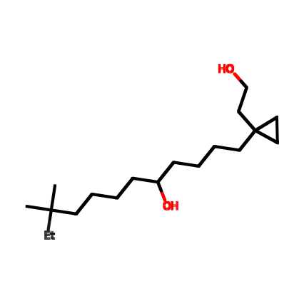 CCC(C)(C)CCCCC(O)CCCCC1(CCO)CC1